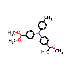 COC(C)c1ccc(N(c2ccc(C)cc2)c2ccc(C(OC)OC)cc2)cc1